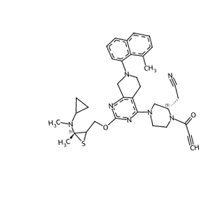 C#CC(=O)N1CCN(c2nc(OCC3S[C@]3(C)N(C)C3CC3)nc3c2CCN(c2cccc4cccc(C)c24)C3)C[C@@H]1CC#N